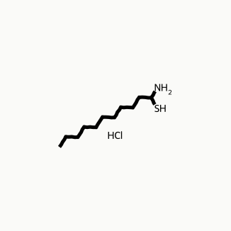 CCCCCCCCCCC(N)S.Cl